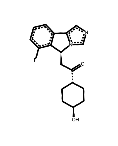 O=C(C[C@H]1c2c(F)cccc2-c2cncn21)[C@H]1CC[C@H](O)CC1